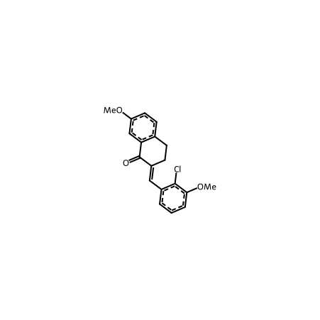 COc1ccc2c(c1)C(=O)C(=Cc1cccc(OC)c1Cl)CC2